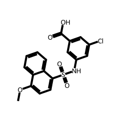 COc1ccc(S(=O)(=O)Nc2cc(Cl)cc(C(=O)O)c2)c2ccccc12